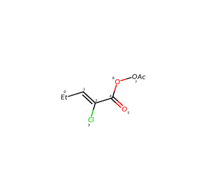 CCC=C(Cl)C(=O)OOC(C)=O